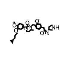 COc1cc(CC(=O)N(C)C2CCNC2)ccc1CN1C(=O)N(c2ccc(OC)c(OCCCC3CC3)c2)CCC1C